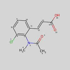 CC(=O)N(C)c1c(Cl)cccc1C=CC(=O)O